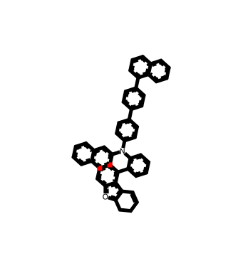 C1=Cc2c(oc3cccc(-c4ccccc4N(c4ccc(-c5ccc(-c6cccc7ccccc67)cc5)cc4)c4ccc5ccccc5c4)c23)CC1